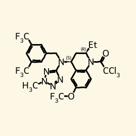 CC[C@@H]1C[C@H](N(Cc2cc(C(F)(F)F)cc(C(F)(F)F)c2)c2nnn(C)n2)c2cc(OC(F)(F)F)ccc2N1C(=O)C(Cl)(Cl)Cl